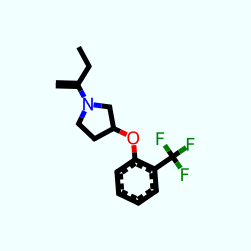 C=C(CC)N1CCC(Oc2ccccc2C(F)(F)F)C1